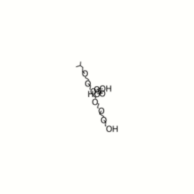 CC(C)CCOCCOCCOCCOCCOCCOCCO.O=S(=O)(O)O